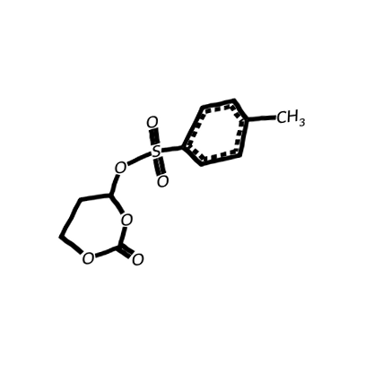 Cc1ccc(S(=O)(=O)OC2CCOC(=O)O2)cc1